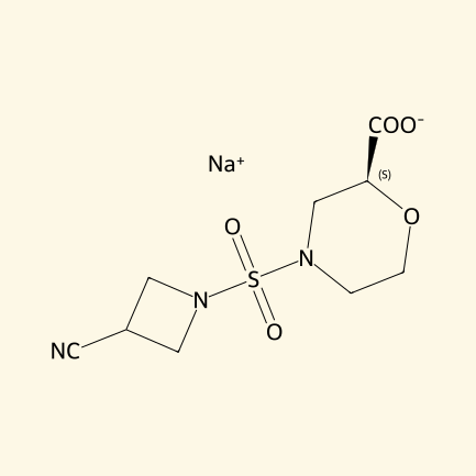 N#CC1CN(S(=O)(=O)N2CCO[C@H](C(=O)[O-])C2)C1.[Na+]